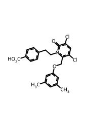 Cc1cc(C)cc(OCc2c(Cl)cc(Cl)c(=O)n2CCc2ccc(C(=O)O)cc2)c1